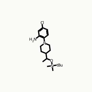 CC(O[Si](C)(C)C(C)(C)C)C1CCN(c2ccc(Cl)cc2N)CC1